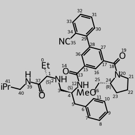 CC[C@H](NC[C@H](Cc1ccccc1)NC(=O)c1cc(C(=O)N2CCC[C@@H]2COC)cc(-c2ccccc2C#N)c1)C(=O)NCC(C)C